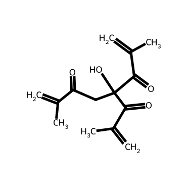 C=C(C)C(=O)CC(O)(C(=O)C(=C)C)C(=O)C(=C)C